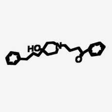 O=C(CCCN1CCC(O)(CCCc2ccccc2)CC1)c1ccccc1